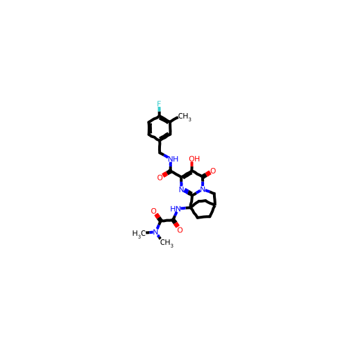 Cc1cc(CNC(=O)c2nc3n(c(=O)c2O)CC2CCC3(NC(=O)C(=O)N(C)C)CC2)ccc1F